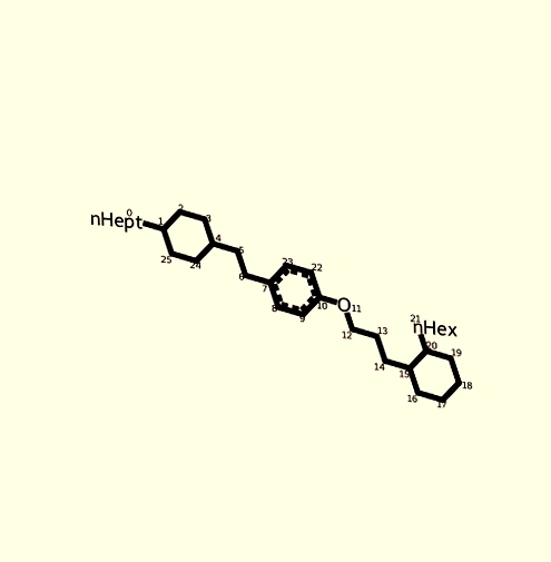 CCCCCCCC1CCC(CCc2ccc(OCCCC3CCCCC3CCCCCC)cc2)CC1